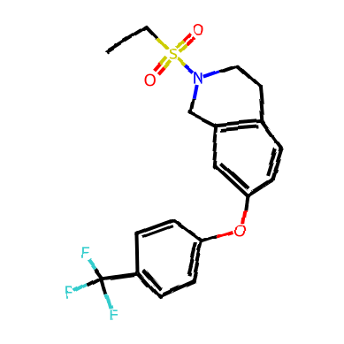 CCS(=O)(=O)N1CCc2ccc(Oc3ccc(C(F)(F)F)cc3)cc2C1